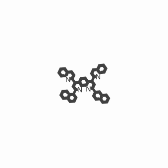 c1ccc2cc(-c3cc(-c4ccc5ccccc5n4)c4ccc5c(-c6ccc7ccccc7n6)cc(-c6cccc7ccccc67)nc5c4n3)ccc2c1